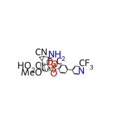 CO[C@H]1C[C@@H](S(=O)(=O)c2ccc(-c3ccnc(C(F)(F)F)c3)cc2C(F)(F)F)C[C@]1(C(=O)O)C1CC1(C#N)C(N)=O